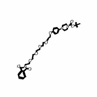 CC(C)(C)OC(=O)N1CCN(c2ccc(OCCOCCOCCOCCOCCN3C(=O)c4ccccc4C3=O)cc2)CC1